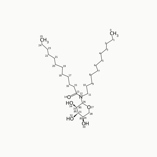 CCCCCCCCCCCCN(C(=O)CCCCCCCCCCC)C1OC[C@@H](O)[C@@H](O)[C@H]1O